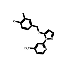 Cc1cc(COc2ccnn2-c2cc(C(=O)O)ccn2)ccc1Cl